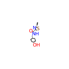 C#Cc1nc(C(=O)NCc2ccc(O)cc2)cs1